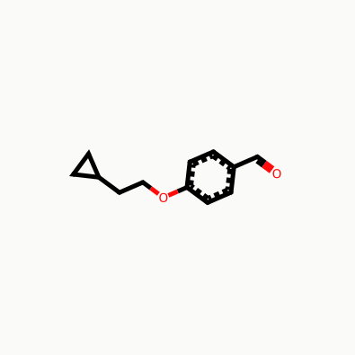 O=Cc1ccc(OCCC2CC2)cc1